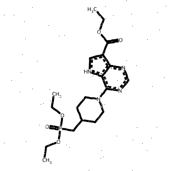 CCOC(=O)c1c[nH]c2c(N3CCC(CP(=O)(OCC)OCC)CC3)ncnc12